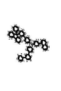 c1ccc(-c2cccc(-c3ccc(N(c4ccc(-c5cccc(C6(c7ccccc7)c7ccccc7-c7ccccc76)c5)cc4)c4ccc(-c5cccc6ccccc56)cc4)cc3)c2)cc1